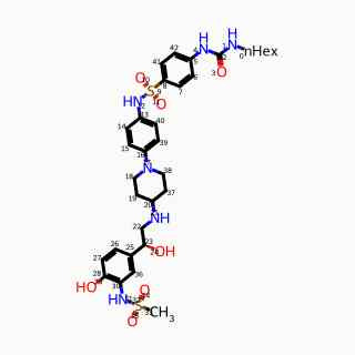 CCCCCCNC(=O)Nc1ccc(S(=O)(=O)Nc2ccc(N3CCC(NC[C@@H](O)c4ccc(O)c(NS(C)(=O)=O)c4)CC3)cc2)cc1